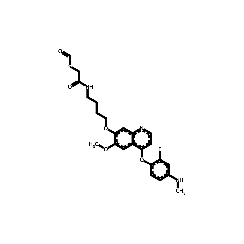 CNc1ccc(Oc2ccnc3cc(OCCCCNC(=O)CSC=O)c(OC)cc23)c(F)c1